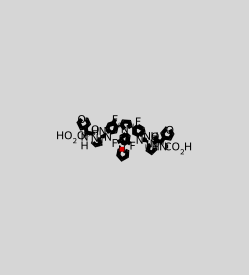 O=C(O)N[C@H](C(=O)N1CCC[C@H]1c1nc2cc([C@H]3CC[C@H](c4cc5nc([C@@H]6CCCN6C(=O)[C@@H](NC(=O)O)C6CCOCC6)[nH]c5cc4F)N3c3cc(F)c(N4CCCCC4)c(F)c3)c(F)cc2[nH]1)C1CCOCC1